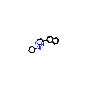 c1ccc2cc(-c3ccnc(NC4CCCCC4)n3)ccc2c1